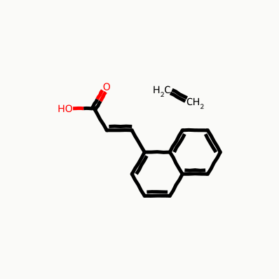 C=C.O=C(O)C=Cc1cccc2ccccc12